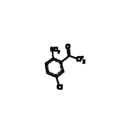 O=C(c1cc(Cl)ccc1[N+](=O)[O-])C(F)(F)F